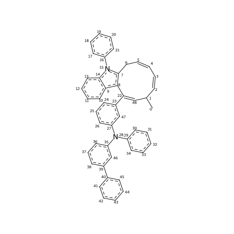 CC1/C=C\C=C/Cc2c(c3ccccc3n2-c2ccccc2)/C(c2cccc(N(c3ccccc3)c3cccc(-c4ccccc4)c3)c2)=C\1